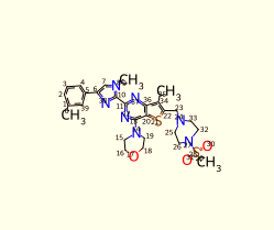 Cc1cccc(-c2cn(C)c(-c3nc(N4CCOCC4)c4sc(CN5CCN(S(C)(=O)=O)CC5)c(C)c4n3)n2)c1